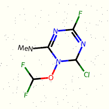 CNC1=NC(F)=NC(Cl)N1OC(F)F